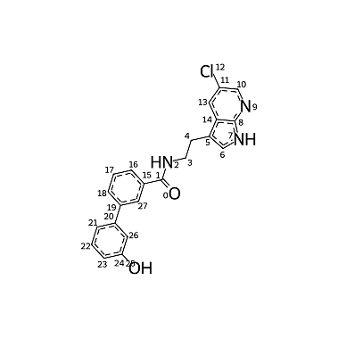 O=C(NCCc1c[nH]c2ncc(Cl)cc12)c1cccc(-c2cccc(O)c2)c1